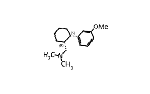 COc1cccc([C@H]2CCCC[C@H]2CN(C)C)c1